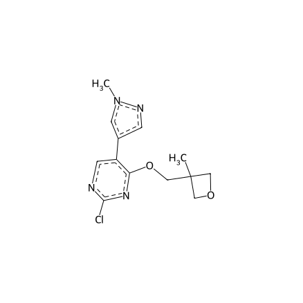 Cn1cc(-c2cnc(Cl)nc2OCC2(C)COC2)cn1